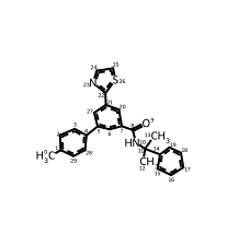 Cc1ccc(-c2cc(C(=O)NC(C)(C)c3ccccc3)cc(-c3nccs3)c2)cc1